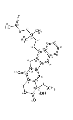 CC[C@@]1(O)C(=O)OCc2c1cc1n(c2=O)Cc2c-1nc1ccccc1c2CC[Si](C)(C)CCC(=O)O